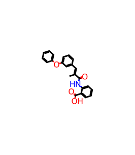 C/C(=C\c1cccc(Oc2ccccc2)c1)C(=O)Nc1ccccc1C(=O)O